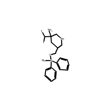 CC(C)(C)[Si](OCC1CNCC(N)(C(F)F)C1)(c1ccccc1)c1ccccc1